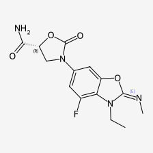 CCn1/c(=N\C)oc2cc(N3C[C@H](C(N)=O)OC3=O)cc(F)c21